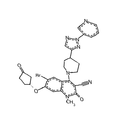 Cn1c(=O)c(C#N)c(N2CCC(c3cnn(-c4cccnc4)n3)CC2)c2cc(Br)c(O[C@@H]3CCC(=O)C3)cc21